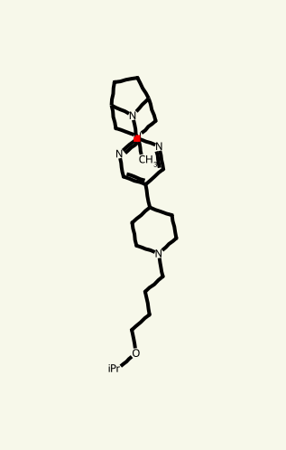 CC(C)OCCCCN1CCC(c2cnc(N3C4CCC3CN(C)C4)nc2)CC1